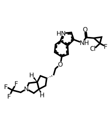 O=C(Nc1c[nH]c2ccc(OCC[C@@H]3C[C@@H]4CN(CC(F)(F)F)C[C@@H]4C3)cc12)C1CC1(F)Cl